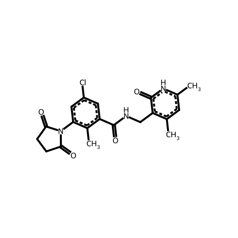 Cc1cc(C)c(CNC(=O)c2cc(Cl)cc(N3C(=O)CCC3=O)c2C)c(=O)[nH]1